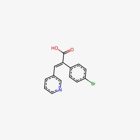 O=C(O)/C(=C/c1cccnc1)c1ccc(Br)cc1